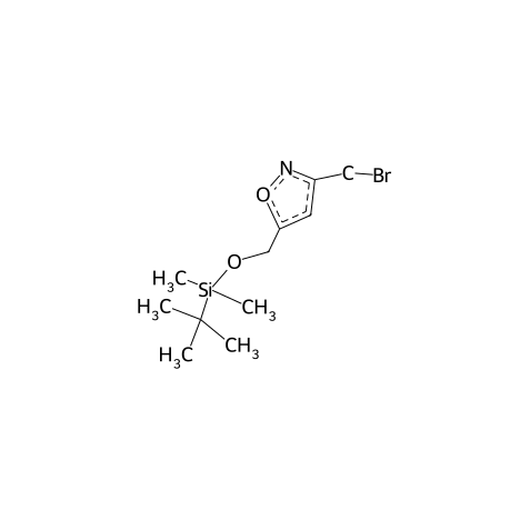 CC(C)(C)[Si](C)(C)OCc1cc(CBr)no1